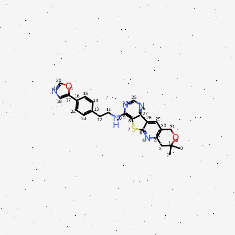 CC1(C)Cc2nc3sc4c(NCCc5ccc(-c6cnco6)cc5)ncnc4c3cc2CO1